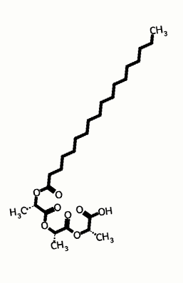 CCCCCCCCCCCCCCCCCC(=O)O[C@@H](C)C(=O)O[C@@H](C)C(=O)O[C@@H](C)C(=O)O